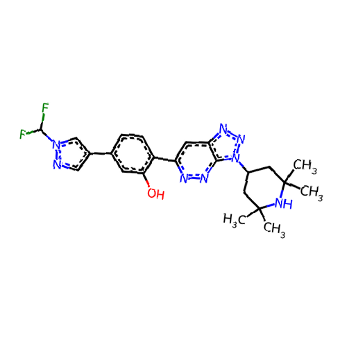 CC1(C)CC(n2nnc3cc(-c4ccc(-c5cnn(C(F)F)c5)cc4O)nnc32)CC(C)(C)N1